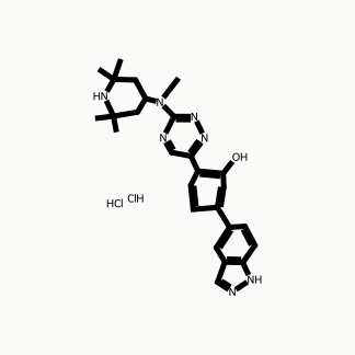 CN(c1ncc(-c2ccc(-c3ccc4[nH]ncc4c3)cc2O)nn1)C1CC(C)(C)NC(C)(C)C1.Cl.Cl